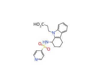 O=C(O)CCn1c2c(c3ccccc31)CCCC2NS(=O)(=O)c1ccncc1